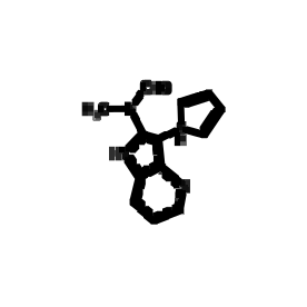 CN(C=O)c1[nH]c2cccnc2c1[SH]1C=CC=C1